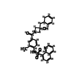 Cc1cc(C(=O)N2CC(O)(CC3C=CC=CC3)C2)ccc1NS(=O)(=O)c1cccc2cccnc12